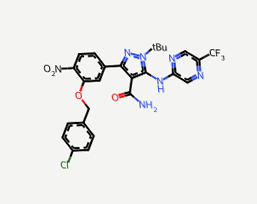 CC(C)(C)n1nc(-c2ccc([N+](=O)[O-])c(OCc3ccc(Cl)cc3)c2)c(C(N)=O)c1Nc1cnc(C(F)(F)F)cn1